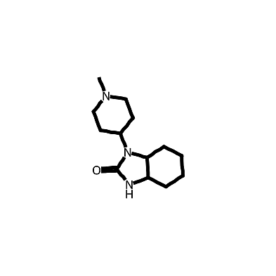 CN1CCC(N2C(=O)NC3CCCCC32)CC1